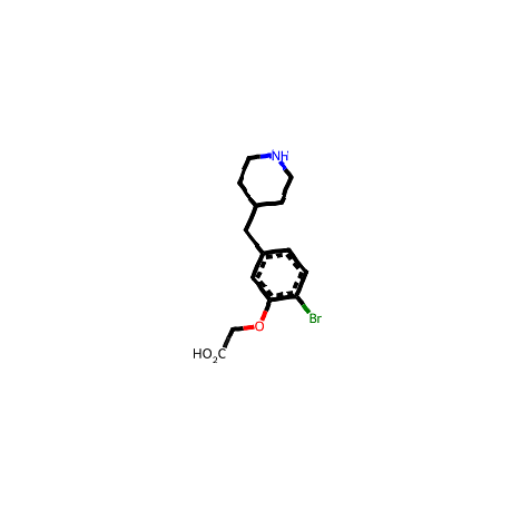 O=C(O)COc1cc(CC2CCNCC2)ccc1Br